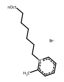 CCCCCCCCCCCCCC[n+]1ccccc1C.[Br-]